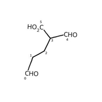 O=CCCC(C=O)C(=O)O